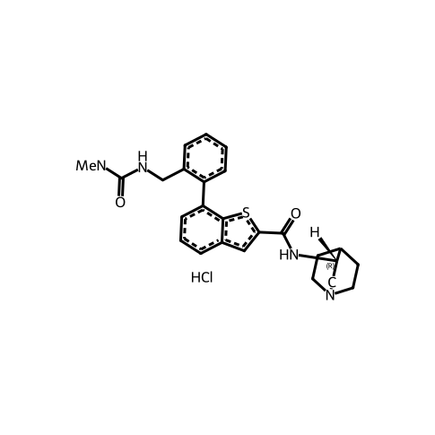 CNC(=O)NCc1ccccc1-c1cccc2cc(C(=O)N[C@H]3CN4CCC3CC4)sc12.Cl